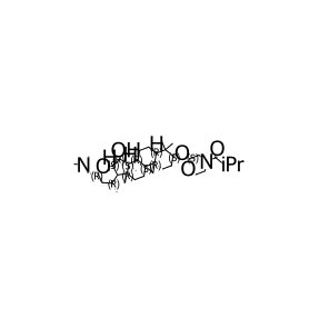 CC(C)C(=O)N1CCO[C@@H](O[C@H]2CC[C@]34C[C@]35CC[C@]3(C)C6[C@H](C)C[C@H](CN(C)C)O[C@@H]6[C@H](O)[C@@]3(C)[C@@H]5CC[C@H]4C2(C)C)C1